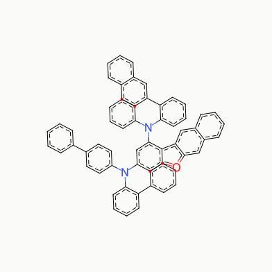 c1ccc(-c2ccc(N(c3cc(N(c4ccccc4)c4ccccc4-c4ccc5ccccc5c4)c4c(c3)oc3cc5ccccc5cc34)c3ccccc3-c3ccccc3)cc2)cc1